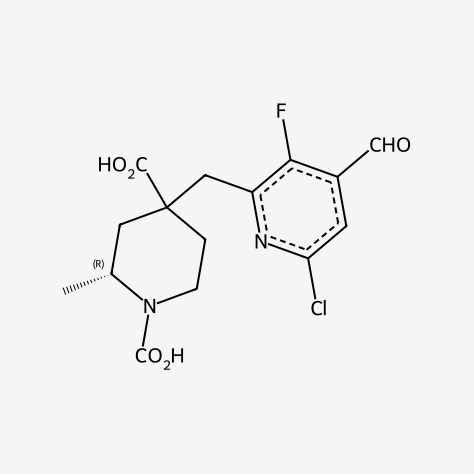 C[C@@H]1CC(Cc2nc(Cl)cc(C=O)c2F)(C(=O)O)CCN1C(=O)O